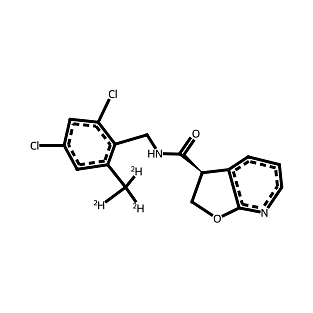 [2H]C([2H])([2H])c1cc(Cl)cc(Cl)c1CNC(=O)[C@@H]1COc2ncccc21